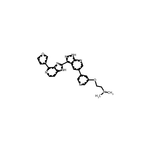 CN(C)CCOc1cncc(-c2cnc3[nH]nc(-c4nc5c(-c6ccoc6)nccc5[nH]4)c3c2)c1